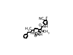 C[C@@H](CCc1ccccc1)C1C=Cc2c(cn(C)c2C(=O)Nc2ccc(F)c(C#N)c2)S(=N)(=O)N1